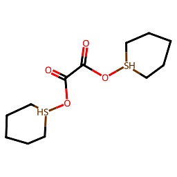 O=C(O[SH]1CCCCC1)C(=O)O[SH]1CCCCC1